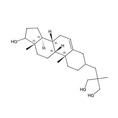 CC(CO)(CO)CC1CC[C@@]2(C)C(=CC[C@@H]3[C@H]2CC[C@]2(C)C(O)CC[C@@H]32)C1